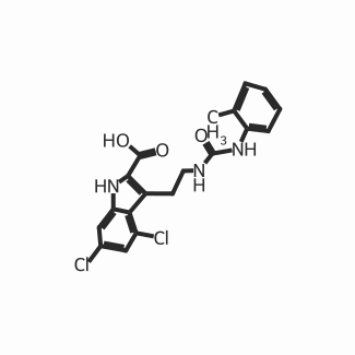 Cc1ccccc1NC(=O)NCCc1c(C(=O)O)[nH]c2cc(Cl)cc(Cl)c12